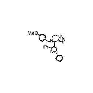 COc1ccc(CN2CCn3nnnc3C2c2cn(-c3ccccc3)nc2C(C)C)cc1